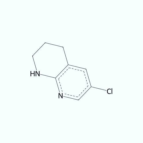 Clc1cnc2c(c1)CCCN2